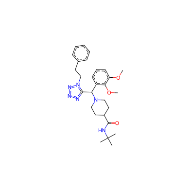 COc1cccc(C(c2nnnn2CCc2ccccc2)N2CCC(C(=O)NC(C)(C)C)CC2)c1OC